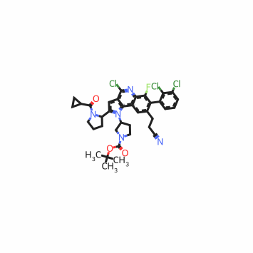 CC(C)(C)OC(=O)N1CCC(n2c(C3CCCN3C(=O)C3CC3)cc3c(Cl)nc4c(F)c(-c5cccc(Cl)c5Cl)c(CCC#N)cc4c32)C1